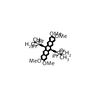 C=C(C)[Si](C#Cc1c2cc3cc(OC)c(OC)cc3cc2c(C#C[Si](C(=C)C)(C(C)C)C(C)C)c2cc3cc(OC)c(OC)cc3cc12)(C(C)C)C(C)C